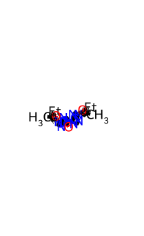 CC[C@H]1O[C@@H](n2cnc3c(-n4cnc5c(ncn5[C@H]5CC(C)[C@@H](CC)O5)c4=O)ncnc32)CC1C